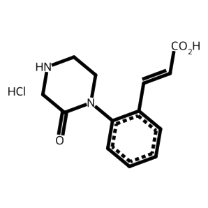 Cl.O=C(O)C=Cc1ccccc1N1CCNCC1=O